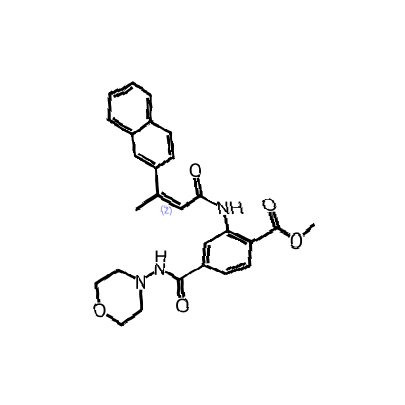 COC(=O)c1ccc(C(=O)NN2CCOCC2)cc1NC(=O)/C=C(/C)c1ccc2ccccc2c1